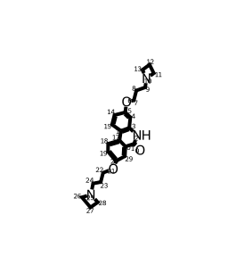 O=c1[nH]c2cc(OCCCN3CCC3)ccc2c2ccc(OCCCN3CCC3)cc12